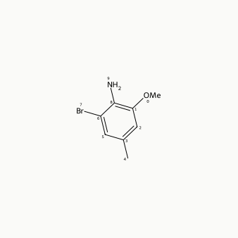 COc1cc(C)cc(Br)c1N